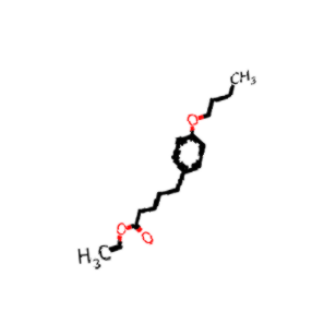 CCCCOc1ccc(CCCCC(=O)OCC)cc1